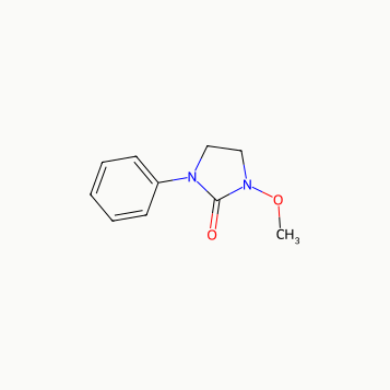 CON1CCN(c2ccccc2)C1=O